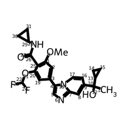 COc1cc(-c2cnc3cc(C(C)(O)C4CC4)ccn23)cc(OC(F)F)c1C(=O)NC1CC1